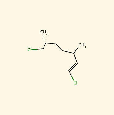 CC(/C=C/Cl)CC[C@@H](C)CCl